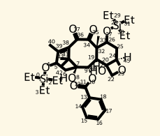 CC[Si](CC)(CC)OC1C[C@@]2(O)[C@@H](OC(=O)c3ccccc3)[C@@H]3[C@]4(O)CO[C@@H]4CC(O[Si](CC)(CC)CC)[C@@]3(C)C(=O)C(=O)C(=C1C)C2(C)C